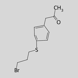 CC(=O)Cc1ccc(SCCCBr)cc1